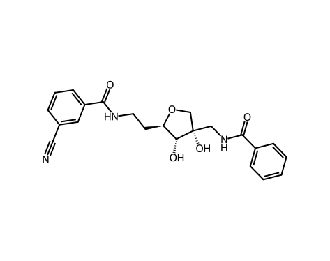 N#Cc1cccc(C(=O)NCC[C@H]2OC[C@@](O)(CNC(=O)c3ccccc3)[C@@H]2O)c1